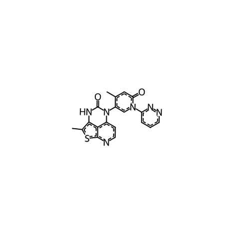 Cc1cc(=O)n(-c2cccnn2)cc1N1C(=O)Nc2c(C)sc3nccc1c23